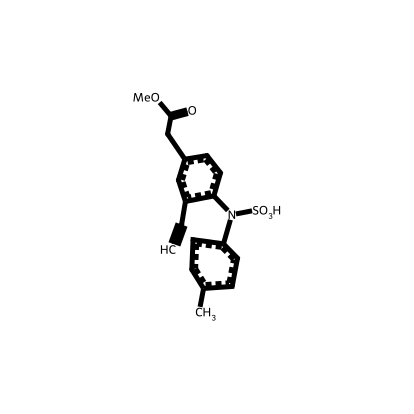 C#Cc1cc(CC(=O)OC)ccc1N(c1ccc(C)cc1)S(=O)(=O)O